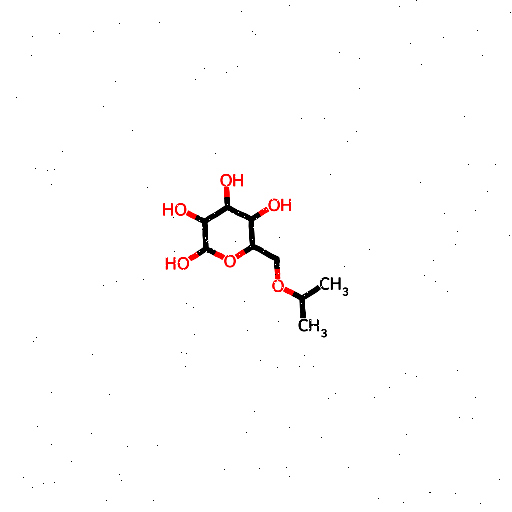 CC(C)OCC1OC(O)C(O)C(O)C1O